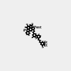 CCCC(C)CC(CCC1CC(C)C2SC3C(CCCC4CC(C)C(CC)C(CC)C4)CCCC3C2C1)C1CC(C2CCCCC2)Cc2c(C(C)C(C)CC(C)C)cc(C)nc21